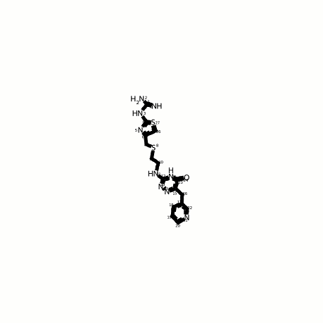 N=C(N)Nc1nc(CSCCNc2nnc(Cc3cccnc3)c(=O)[nH]2)cs1